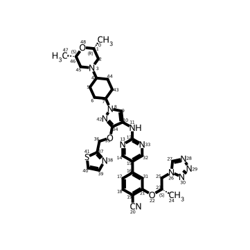 C[C@@H]1CN(C2CCC(n3cc(Nc4ncc(-c5ccc(C#N)c(O[C@@H](C)Cn6cnnn6)c5)cn4)c(OCc4nccs4)n3)CC2)C[C@H](C)O1